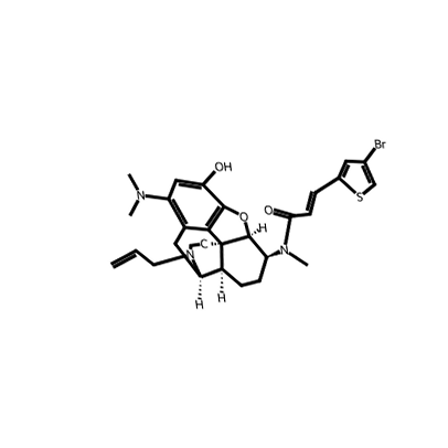 C=CCN1CC[C@]23c4c5c(N(C)C)cc(O)c4O[C@H]2[C@@H](N(C)C(=O)/C=C/c2cc(Br)cs2)CC[C@H]3[C@H]1C5